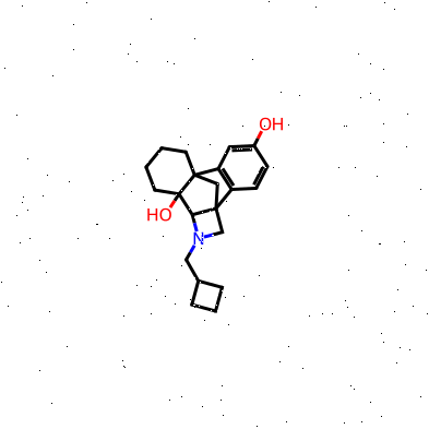 Oc1ccc2c(c1)C13CCCCC1(O)C1N(CC4CCC4)CC21C3